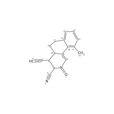 C#CC1C(C#N)C(=O)C=C2c3c(C)cccc3CCC21